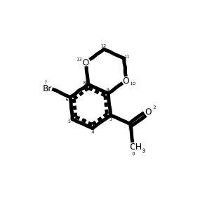 CC(=O)c1ccc(Br)c2c1OCCO2